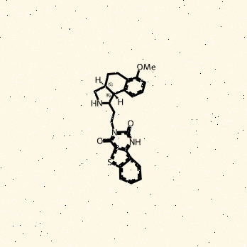 COc1cccc2c1CC[C@@H]1CNC(CCn3c(=O)[nH]c4c(sc5ccccc54)c3=O)[C@@H]21